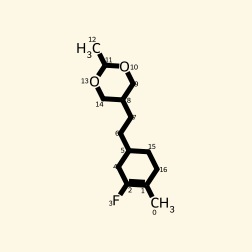 CC1=C(F)CC(CCC2COC(C)OC2)CC1